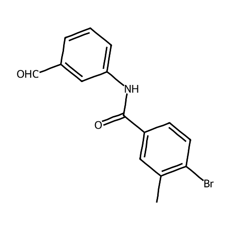 Cc1cc(C(=O)Nc2cccc(C=O)c2)ccc1Br